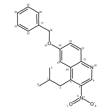 [CH2]C(C)Cc1c([N+](=O)[O-])cnc2ccc(OCc3ccccc3)cc12